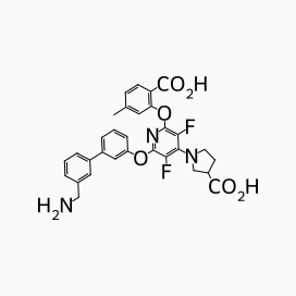 Cc1ccc(C(=O)O)c(Oc2nc(Oc3cccc(-c4cccc(CN)c4)c3)c(F)c(N3CCC(C(=O)O)C3)c2F)c1